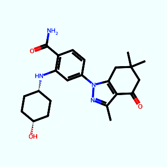 Cc1nn(-c2ccc(C(N)=O)c(N[C@H]3CC[C@@H](O)CC3)c2)c2c1C(=O)CC(C)(C)C2